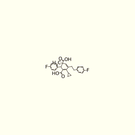 CC1(C(=O)O)C=C(CCc2ccc(F)cc2)C(C2CC2)=C(C(=O)O)C1c1ccc(F)cc1